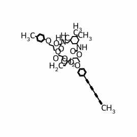 C=CC(=O)OCC(COc1ccc(C)cc1)OC(=O)NCC1(C)CC(NC(=O)OC(COC(=O)C=C)COc2ccc(C#CC#CC#CC#CC)cc2)CC(C)(C)C1